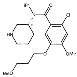 COCCCOc1cc(C(=O)N(C(C)C)[C@@H]2CCCNC2)c(Cl)cc1OC